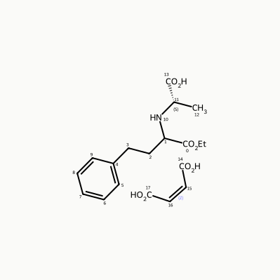 CCOC(=O)C(CCc1ccccc1)N[C@@H](C)C(=O)O.O=C(O)/C=C\C(=O)O